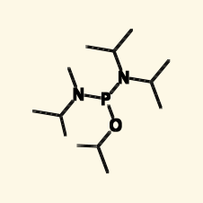 CC(C)OP(N(C)C(C)C)N(C(C)C)C(C)C